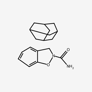 C1C2CC3CC1CC(C2)C3.NC(=O)N1Cc2ccccc2O1